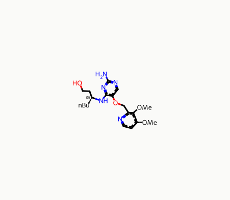 CCCC[C@@H](CCO)Nc1nc(N)ncc1OCc1nccc(OC)c1OC